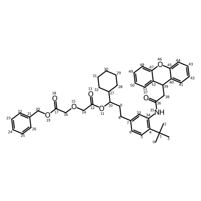 CC(C)(C)c1ccc(CCC(OC(=O)COCC(=O)OCc2ccccc2)C2CCCCC2)cc1NC(=O)CC1c2ccccc2Oc2ccccc21